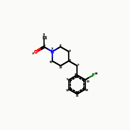 CCC(=O)N1CCC(Cc2ccccc2F)CC1